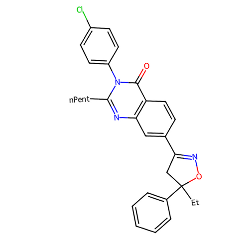 CCCCCc1nc2cc(C3=NOC(CC)(c4ccccc4)C3)ccc2c(=O)n1-c1ccc(Cl)cc1